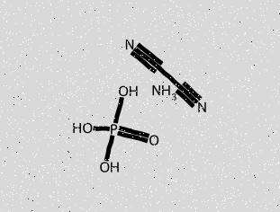 N.N#CC#N.O=P(O)(O)O